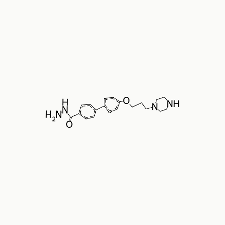 NNC(=O)c1ccc(-c2ccc(OCCCN3CCNCC3)cc2)cc1